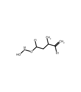 C=C(CC)C(C)CC(Cl)OBO